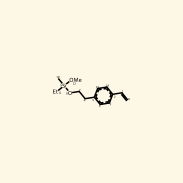 C=Cc1ccc(CCO[Si](C)(CC)OC)cc1